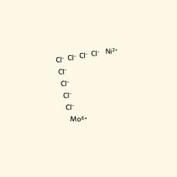 [Cl-].[Cl-].[Cl-].[Cl-].[Cl-].[Cl-].[Cl-].[Cl-].[Mo+6].[Ni+2]